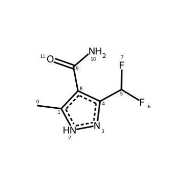 Cc1[nH]nc(C(F)F)c1C(N)=O